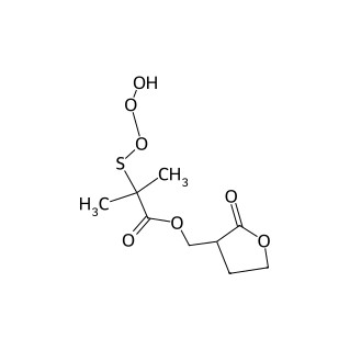 CC(C)(SOOO)C(=O)OCC1CCOC1=O